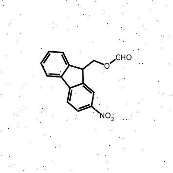 O=COCC1c2ccccc2-c2ccc([N+](=O)[O-])cc21